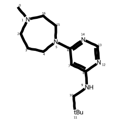 CN1CCCN(c2cc(NCC(C)(C)C)ncn2)CC1